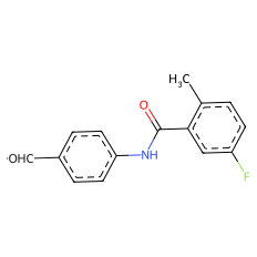 Cc1ccc(F)cc1C(=O)Nc1ccc([C]=O)cc1